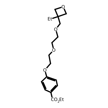 CCOC(=O)c1ccc(OCCOCCOCC2(CC)COC2)cc1